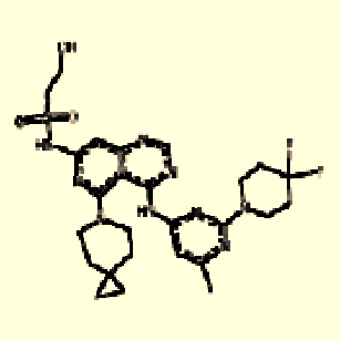 Cc1cc(Nc2ncnc3cc(NS(=O)(=O)CCO)nc(N4CCC5(CC4)CC5)c23)nc(N2CCC(F)(F)CC2)n1